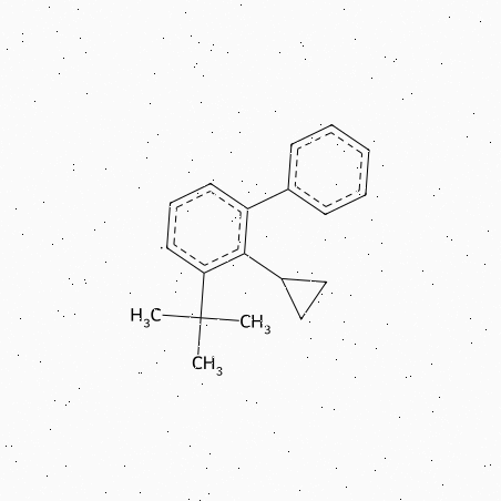 CC(C)(C)c1[c]ccc(-c2ccccc2)c1C1CC1